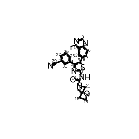 Cc1ncnc2ccc(-c3sc(NC(=O)N4CC5(CCO5)C4)nc3-c3cccc(C#N)c3)cc12